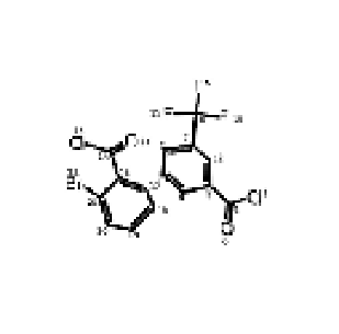 O=C(Cl)c1cccc(C(F)(F)F)c1.O=C(Cl)c1ccccc1Br